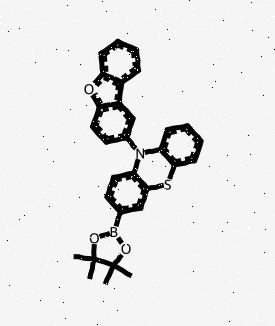 CC1(C)OB(c2ccc3c(c2)Sc2ccccc2N3c2ccc3oc4ccccc4c3c2)OC1(C)C